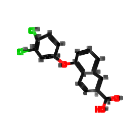 O=C(O)c1ccc2c(Oc3ccc(Cl)c(Cl)c3)cccc2c1